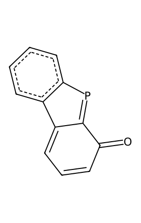 O=C1C=CC=C2C1=Pc1ccccc12